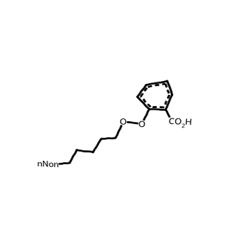 CCCCCCCCCCCCCCOOc1ccccc1C(=O)O